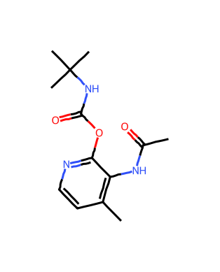 CC(=O)Nc1c(C)ccnc1OC(=O)NC(C)(C)C